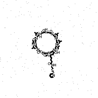 CC[C@@H]1NC(=O)[C@H]([C@H](O)[C@H](C)C/C=C/CCC(=O)NCCSSc2ccccn2)N(C)C(=O)[C@H](C(C)C)N(C)C(=O)[C@H](CC(C)C)N(C)C(=O)[C@H](CC(C)C)N(C)C(=O)[C@@H](C)NC(=O)[C@H](C)NC(=O)[C@H](CC(C)C)N(C)C(=O)[C@H](C(C)C)NC(=O)[C@H](CC(C)C)N(C)C(=O)CN(C)C1=O